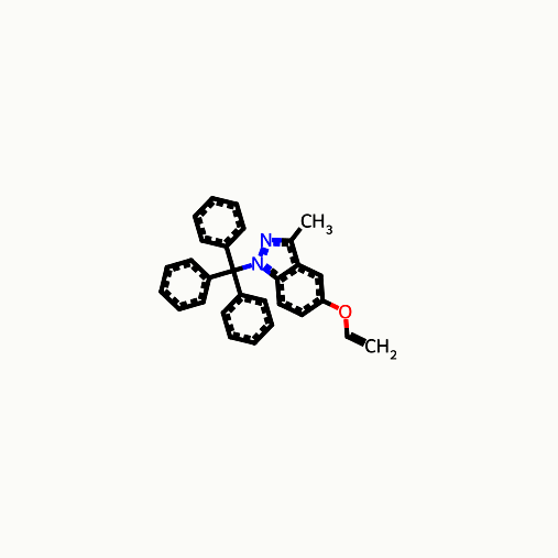 C=COc1ccc2c(c1)c(C)nn2C(c1ccccc1)(c1ccccc1)c1ccccc1